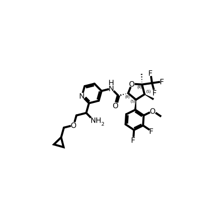 COc1c([C@H]2[C@H](C(=O)Nc3ccnc(C(N)COCC4CC4)c3)O[C@@](C)(C(F)(F)F)[C@H]2C)ccc(F)c1F